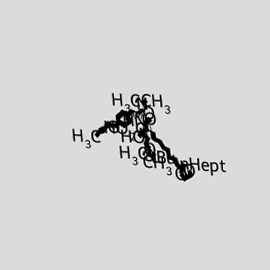 CC#CCOc1ccc(C[C@H](NC(=O)[C@@H](C=CCCCCCCC2(CCCCCCC)OCCO2)[C@@](O)(CCO[Si](C)(C)C(C)(C)C)C(=O)O)C(=O)N(C)C)cc1